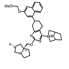 COCOc1cc(C2CCc3c(nc(OC[C@@]45CCCN4C[C@H](F)C5)nc3N3CC4CCC(C3)N4)C2)c2ccccc2c1